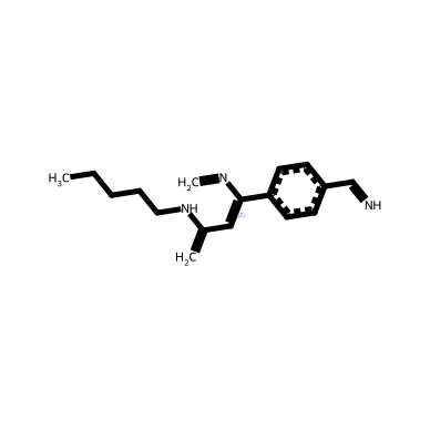 C=N/C(=C\C(=C)NCCCCC)c1ccc(C=N)cc1